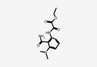 CCOC(=O)C(=O)Nc1cccc(N(C)C)c1C(N)=O